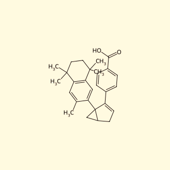 Cc1cc2c(cc1C13CC1CC=C3c1ccc(C(=O)O)cc1)C(C)(C)CCC2(C)C